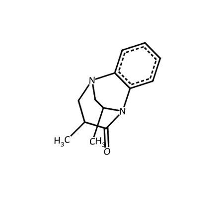 CC1CN2CC(C)N(C1=O)c1ccccc12